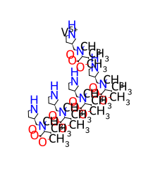 CC(C)C(C(=O)[O-])N(C)C(=O)[C@H]1CCNC1.CC(C)C(C(=O)[O-])N(C)C(=O)[C@H]1CCNC1.CC(C)C(C(=O)[O-])N(C)C(=O)[C@H]1CCNC1.CC(C)C(C(=O)[O-])N(C)C(=O)[C@H]1CCNC1.CC(C)C(C(=O)[O-])N(C)C(=O)[C@H]1CCNC1.[V+5]